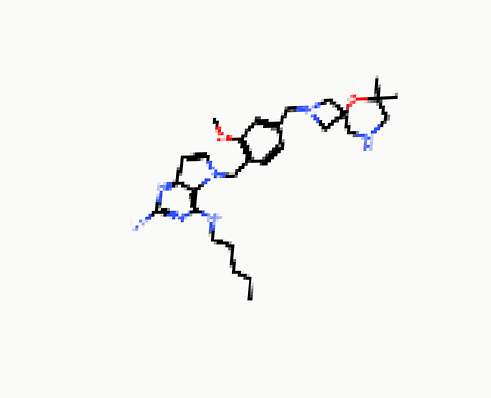 CCCCCNc1nc(N)nc2ccn(Cc3ccc(CN4CC5(CNCC(C)(C)O5)C4)cc3OC)c12